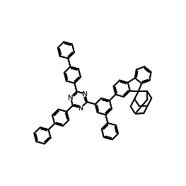 c1ccc(-c2ccc(-c3nc(-c4ccc(-c5ccccc5)cc4)nc(-c4cc(-c5ccccc5)cc(-c5ccc6c(c5)C5(c7ccccc7-6)C6CC7CC(C6)CC5C7)c4)n3)cc2)cc1